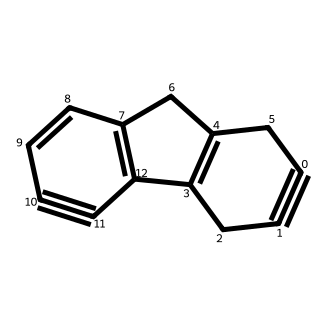 C1#CCC2=C(C1)Cc1ccc#cc12